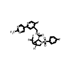 O=C(NCc1cc(-c2cnc(C(F)(F)F)nc2)ncc1F)[C@H]1N(S(=O)(=O)c2ccc(F)cc2)C[C@@H]2C3C(F)(F)[C@@]321